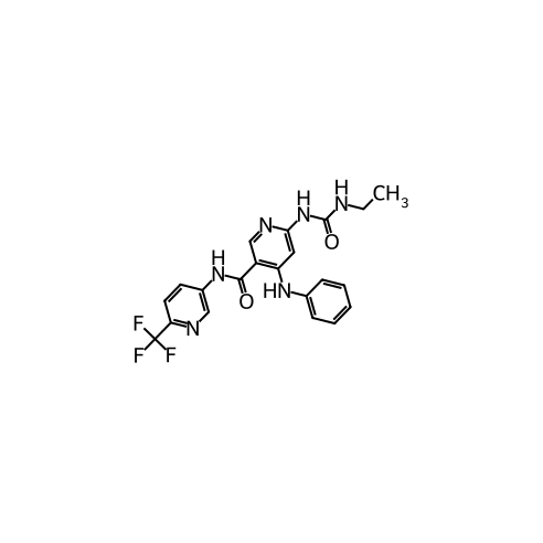 CCNC(=O)Nc1cc(Nc2ccccc2)c(C(=O)Nc2ccc(C(F)(F)F)nc2)cn1